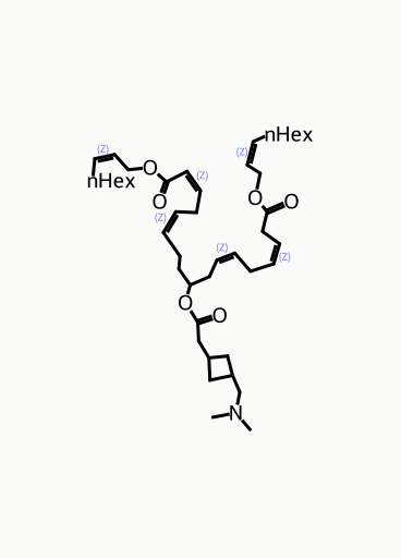 CCCCCC/C=C\COC(=O)/C=C\C/C=C\CCC(C/C=C\C/C=C\CC(=O)OC/C=C\CCCCCC)OC(=O)CC1CC(CN(C)C)C1